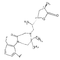 C[C@@H]1C[C@@H](C(N)CN2CC(=O)N(c3c(F)cccc3F)CC2(C)C)OC1=O